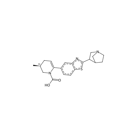 C[C@H]1CC=C(c2ccc3sc(C4CN5CCC4C5)nc3c2)N(C(=O)O)C1